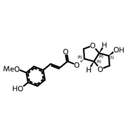 COc1cc(C=CC(=O)O[C@@H]2CO[C@H]3[C@@H]2OC[C@@H]3O)ccc1O